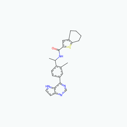 Cc1cc(-c2ncnc3cc[nH]c23)ccc1C(C)NC(=O)c1cc2c(s1)CCCC2